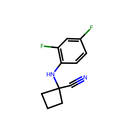 N#CC1(Nc2ccc(F)cc2F)CCC1